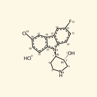 Cl.O[C@@H]1CNCC[C@H]1n1c2ccc(F)cc2c2cc(Cl)ccc21